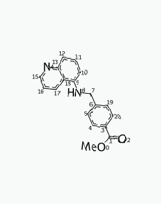 COC(=O)c1ccc(CNc2cccc3ncccc23)cc1